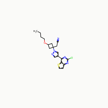 CCCCOC1CC(CC#N)(n2cc(-c3nc(Cl)nc4ccsc34)cn2)C1